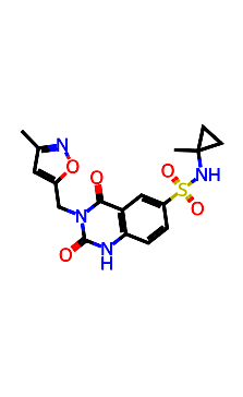 Cc1cc(Cn2c(=O)[nH]c3ccc(S(=O)(=O)NC4(C)CC4)cc3c2=O)on1